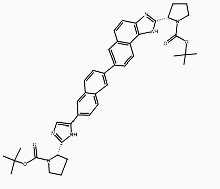 CC(C)(C)OC(=O)N1CCC[C@H]1c1ncc(-c2ccc3cc(-c4ccc5c(ccc6nc([C@@H]7CCCN7C(=O)OC(C)(C)C)[nH]c65)c4)ccc3c2)[nH]1